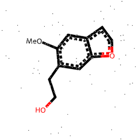 COc1cc2ccoc2cc1CCO